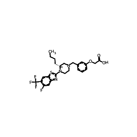 CCCC[C@@H]1CN(Cc2cccc(OCC(=O)O)c2)CCN1c1nc2cc(F)c(C(F)(F)F)cc2s1